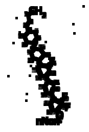 C=CCCC1CCC(C2CCC(c3ccc(-c4ccc(-c5ccc(OCCCCCCCCC)c(F)c5F)cc4)cc3F)CC2)CC1